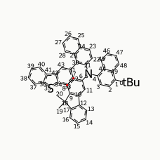 CC(C)(C)c1ccc(N(c2ccc3c(c2)-c2ccccc2C3(C)C)c2ccc3ccccc3c2-c2ccc3sc4ccccc4c3c2)c2ccccc12